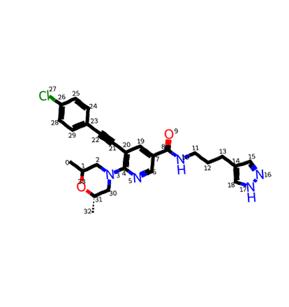 CC1CN(c2ncc(C(=O)NCCCc3cn[nH]c3)cc2C#Cc2ccc(Cl)cc2)C[C@H](C)O1